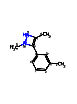 Cc1cccc(-c2c(C)[nH]n2C)c1